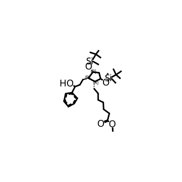 COC(=O)CCCCCC[C@H]1C(O[Si](C)(C)C(C)(C)C)C[C@@H](O[Si](C)(C)C(C)(C)C)[C@@H]1CCC(O)c1ccccc1